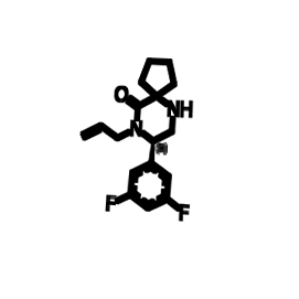 C=CCN1C(=O)C2(CCCC2)NC[C@H]1c1cc(F)cc(F)c1